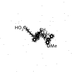 C=C[C@@H]1C[C@]1(NC(=O)[C@@H]1C[C@@H](Oc2cc(-c3ccccc3)nc3cc(OC)ccc23)CN1)C(=O)NS(=O)(=O)c1ccccc1NCCCCCCCCC(=O)O